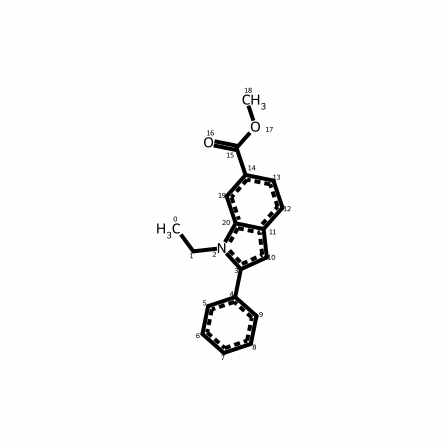 CCn1c(-c2ccccc2)cc2ccc(C(=O)OC)cc21